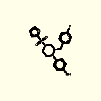 O=S(=O)(c1cccs1)N1CCN(c2ccc(O)cc2)[C@H](Cc2ccc(F)cc2)C1